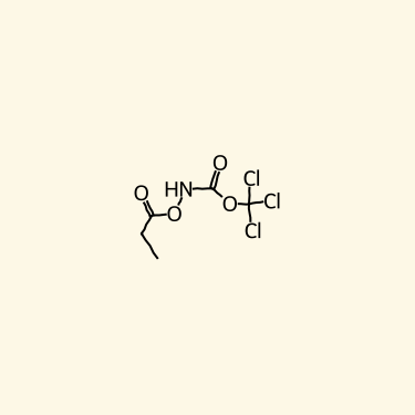 CCC(=O)ONC(=O)OC(Cl)(Cl)Cl